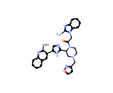 COc1nc2ccccc2cc1-c1cnc(C2CN(Cc3ccon3)CCN2C(=O)Cn2c(C(F)(F)F)nc3ccccc32)[nH]1